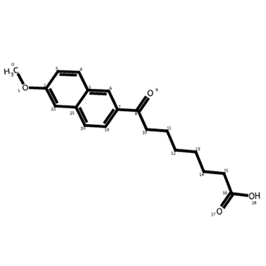 COc1ccc2cc(C(=O)CCCCCCC(=O)O)ccc2c1